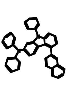 c1ccc(N(c2ccccc2)c2ccc3c4c(-c5ccc6ccccc6c5)cccc4n(-c4ccccc4)c3c2)cc1